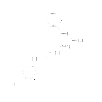 Cc1cccc(-c2cc(NCCNc3ccc(N)nc3)nc(N)n2)c1C